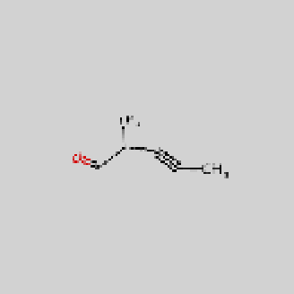 CC#CC(C)C=O